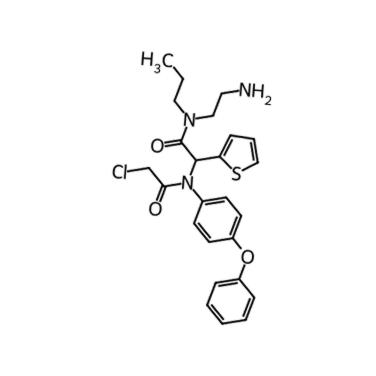 CCCN(CCN)C(=O)C(c1cccs1)N(C(=O)CCl)c1ccc(Oc2ccccc2)cc1